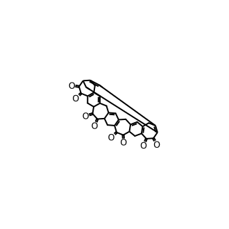 O=C1C(=O)C2=C3C=C4CC5=C(CC6C(=O)C(=O)C7CC8=C(C=C7CC6=C5)CC5=CC(=C1CC5C(=O)C8=O)C3)C(=O)C(=O)C4C2